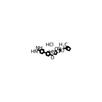 CC1C2CCC(C2)C1COC(=O)C[C@@H]1C[C@@H](C(=O)c2ccc(-c3ccc(C(=N)N)cc3)cc2)NC1=O.Cl